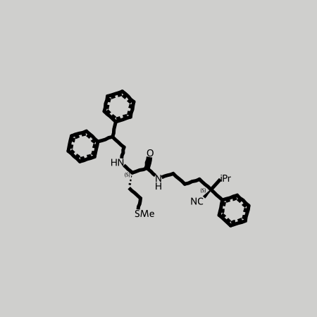 CSCC[C@H](NCC(c1ccccc1)c1ccccc1)C(=O)NCCC[C@@](C#N)(c1ccccc1)C(C)C